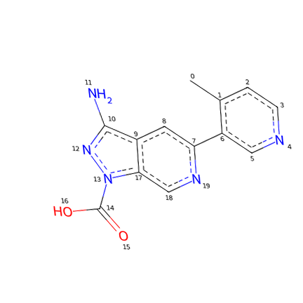 Cc1ccncc1-c1cc2c(N)nn(C(=O)O)c2cn1